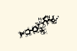 Cc1c(-c2nccc(C(=O)Nc3nc4cc(C5CCN(C6CC6)CC5)ccc4n3CC(C)(C)O)c2F)cnn1C